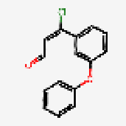 O=C/C=C(/Cl)c1cccc(Oc2ccccc2)c1